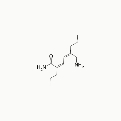 CCCC(=CC=C(CCC)C(N)=O)CN